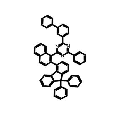 c1ccc(-c2cccc(-c3nc(-c4ccccc4)nc(-c4c(-c5cccc6c5-c5ccccc5C6(c5ccccc5)c5ccccc5)ccc5ccccc45)n3)c2)cc1